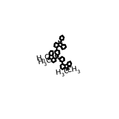 CC1(C)c2ccccc2-c2c(-c3cccc(N(c4ccc(-c5cccc6c5c5ccccc5n6-c5ccccc5)cc4)c4cccc5c4-c4ccccc4C5(C)C)c3)cccc21